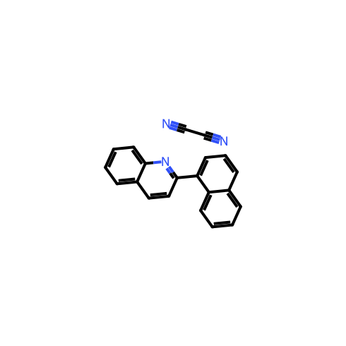 N#CC#N.c1ccc2nc(-c3cccc4ccccc34)ccc2c1